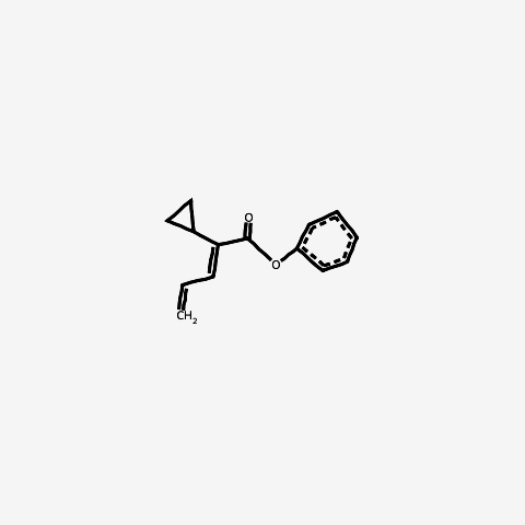 C=CC=C(C(=O)Oc1ccccc1)C1CC1